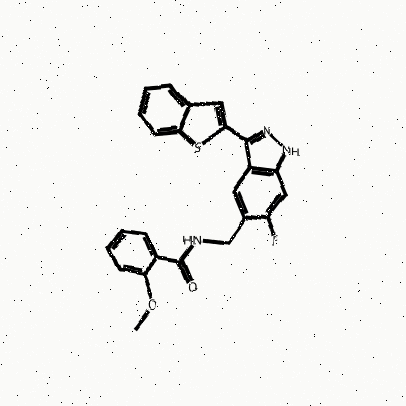 COc1ccccc1C(=O)NCc1cc2c(-c3cc4ccccc4s3)n[nH]c2cc1F